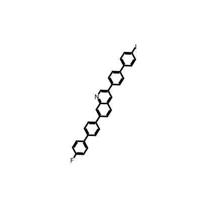 Fc1ccc(-c2ccc(-c3ccc4cc(-c5ccc(-c6ccc(I)cc6)cc5)cnc4c3)cc2)cc1